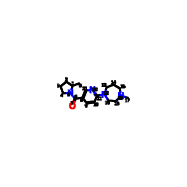 CC1CCCN1C(=O)c1ccc(N2CCCN(C)CC2)nc1